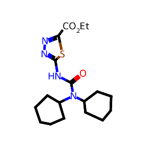 CCOC(=O)c1nnc(NC(=O)N(C2CCCCC2)C2CCCCC2)s1